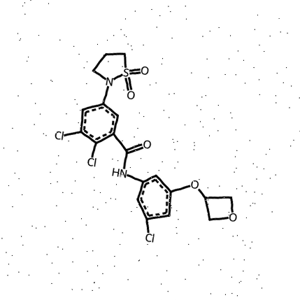 O=C(Nc1cc(Cl)cc(OC2COC2)c1)c1cc(N2CCCS2(=O)=O)cc(Cl)c1Cl